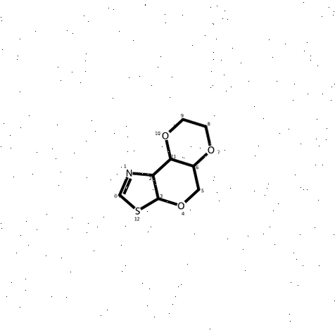 [C]1=NC2C(OCC3OCCOC32)S1